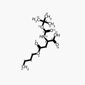 CCCCOC(=O)CC(NC(=O)OC(C)(C)C)C(=O)O